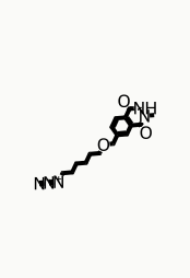 Cn1[nH]c(=O)c2ccc(COCCCCCCN=[N+]=[N-])cc2c1=O